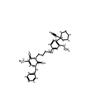 COc1cc(NCCCn2c(=O)c(C)cn(Cc3ccccc3)c2=O)ccc1C1(C#N)CCCCC1